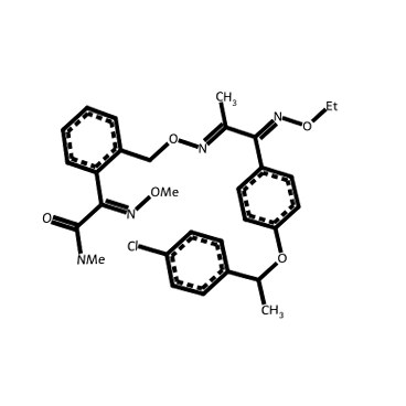 CCO/N=C(/C(C)=N/OCc1ccccc1/C(=N\OC)C(=O)NC)c1ccc(OC(C)c2ccc(Cl)cc2)cc1